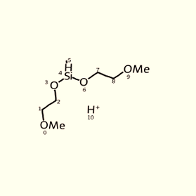 COCCO[SiH](C)OCCOC.[H+]